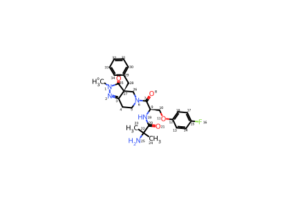 CN1N=C2CCN(C(=O)[C@@H](COc3ccc(F)cc3)NC(=O)C(C)(C)N)C[C@@]2(Cc2ccccc2)C1=O